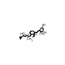 C=C1/C(=C\C=C2/CCC[C@]3(C)[C@@H]([C@H](C)/C=C/[C@H](O)C4CC4)CC[C@@H]23)C[C@H](O)C[C@@H]1O